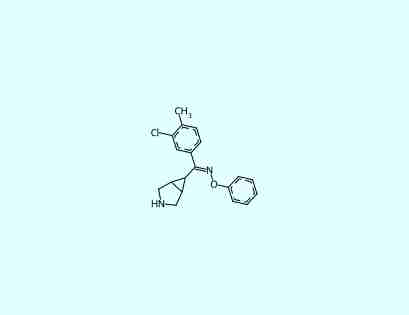 Cc1ccc(C(=NOc2ccccc2)C2C3CNCC32)cc1Cl